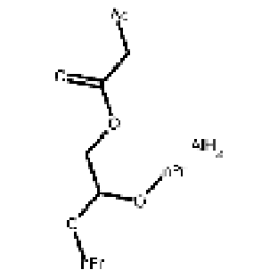 CCCOC(COC(=O)CC(C)=O)OCCC.[AlH3]